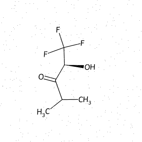 CC(C)C(=O)[C@H](O)C(F)(F)F